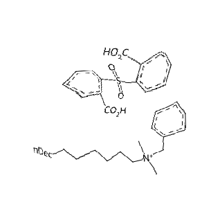 CCCCCCCCCCCCCCCC[N+](C)(C)Cc1ccccc1.O=C(O)c1ccccc1S(=O)(=O)c1ccccc1C(=O)O